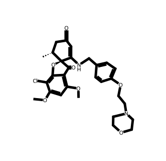 COc1cc(OC)c2c(c1Cl)O[C@]1(C2=O)C(NCc2ccc(OCCN3CCOCC3)cc2)=CC(=O)C[C@H]1C